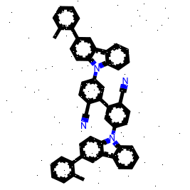 Cc1ccccc1-c1ccc2c(c1)c1ccccc1n2-c1ccc(C#N)c(-c2cc(-n3c4ccccc4c4cc(-c5ccccc5C)ccc43)ccc2C#N)c1